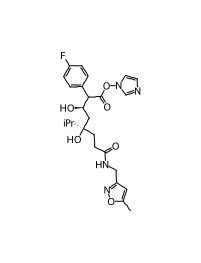 Cc1cc(CNC(=O)CC[C@@](O)(C[C@@H](O)C(C(=O)On2ccnc2)c2ccc(F)cc2)C(C)C)no1